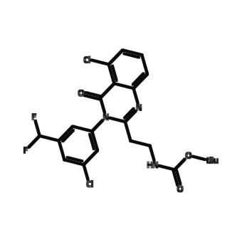 CC(C)(C)OC(=O)NCCc1nc2cccc(Cl)c2c(=O)n1-c1cc(Cl)cc(C(F)F)c1